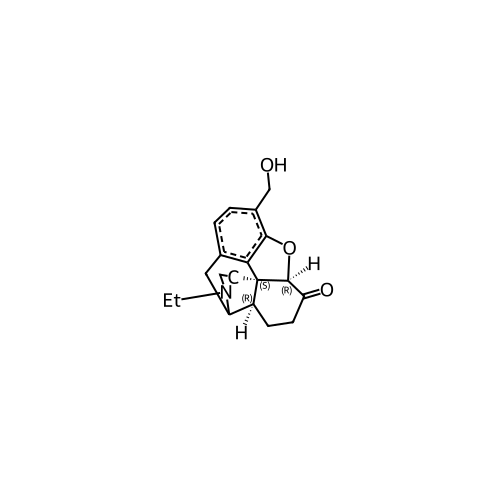 CCN1CC[C@]23c4c5ccc(CO)c4O[C@H]2C(=O)CC[C@H]3C1C5